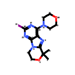 CC1(C)OCCn2c1nc1c(N3CCOCC3)nc(I)nc12